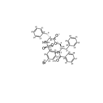 O=C(N[C@@H](COC(=O)[C@@H](Cc1ccccc1)NS(=O)(=O)c1cccc(Br)c1)Cc1ccccc1)c1ccccc1